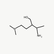 CC(N)C(CO)CCN(C)C